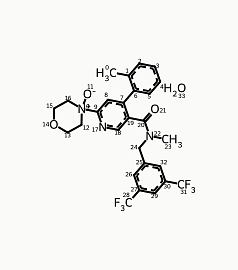 Cc1ccccc1-c1cc([N+]2([O-])CCOCC2)ncc1C(=O)N(C)Cc1cc(C(F)(F)F)cc(C(F)(F)F)c1.O